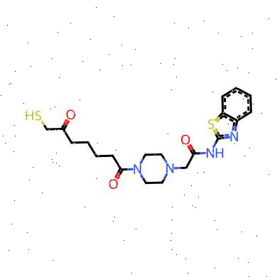 O=C(CS)CCCCC(=O)N1CCN(CC(=O)Nc2nc3ccccc3s2)CC1